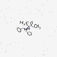 CCC(=O)/C(CC)=N/N(Cc1ccccc1)Cc1ccccc1